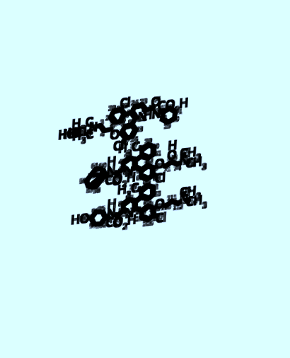 CN(C)CCCOc1cc(-c2nc(C(=O)NC3(C(=O)O)CCCCC3)ccc2-c2ccccc2Cl)ccc1Cl.Cc1ccccc1-c1ccc(C(=O)NC2(C(=O)O)C3CC4CC(C3)CC2C4)nc1-c1ccc(Cl)c(OC[C@H](O)CN(C)C)c1.Cc1ccccc1-c1ccc(C(=O)NC2(C(=O)O)CCC(O)CC2)nc1-c1ccc(Cl)c(OCCCN(C)C)c1.Cl.Cl.Cl